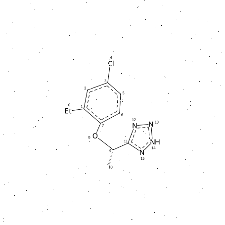 CCc1cc(Cl)ccc1O[C@@H](C)c1nn[nH]n1